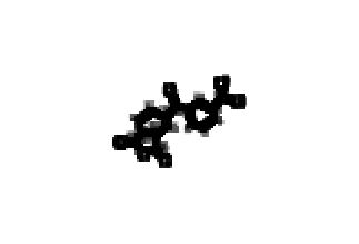 O=C(Cl)c1cccc(C(=O)c2ccc3c(c2)C(=O)OC3=O)c1